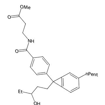 CCCCCc1ccc2c(c1)C2(CCC(O)CC)c1ccc(C(=O)NCCC(=O)OC)cc1